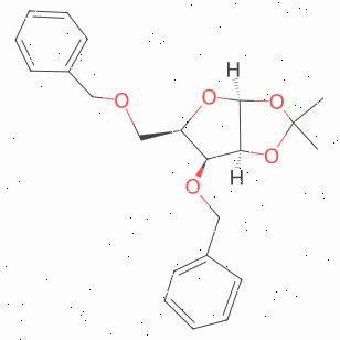 CC1(C)O[C@@H]2O[C@H](COCc3ccccc3)[C@H](OCc3ccccc3)[C@@H]2O1